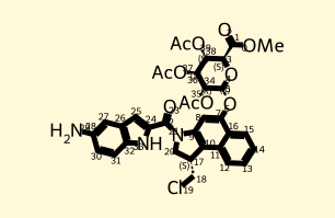 COC(=O)[C@H]1O[C@H](Oc2cc3c(c4ccccc24)[C@H](CCl)CN3C(=O)c2cc3cc(N)ccc3[nH]2)[C@H](OC(C)=O)[C@@H](OC(C)=O)[C@@H]1OC(C)=O